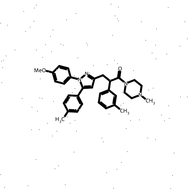 COc1ccc(-n2nc(CC(C(=O)N3CCN(C)CC3)c3cccc(C)c3)cc2-c2ccc(C)cc2)cc1